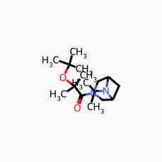 CC(C)N1C2CC1CN(C(=O)C(C)(C)OC(C)(C)C)C2